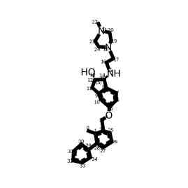 Cc1c(COc2ccc3c(c2)C[C@H](O)[C@H]3NCCN2CCN(C)CC2)cccc1-c1ccccc1